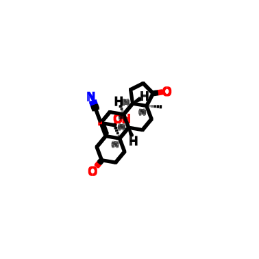 C[C@]12CC[C@H]3[C@@H](CC=C4CC(=O)CC[C@@]43C(O)CC#N)[C@@H]1CCC2=O